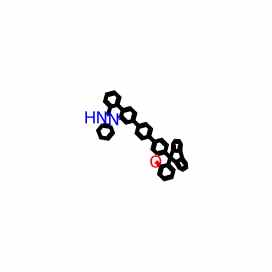 C1=CC2=C(CC1)NC1c3ccccc3-c3ccc(-c4ccc(-c5ccc6c(c5)Oc5ccccc5C65c6ccccc6-c6ccccc65)cc4)cc3N21